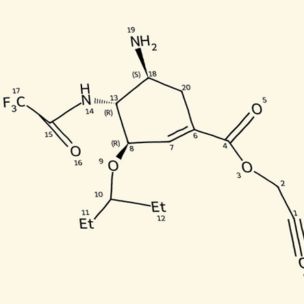 C#CCOC(=O)C1=C[C@@H](OC(CC)CC)[C@H](NC(=O)C(F)(F)F)[C@@H](N)C1